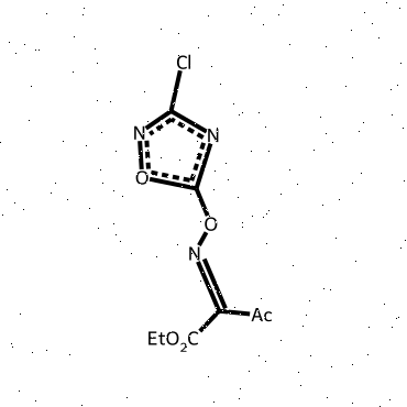 CCOC(=O)C(=NOc1nc(Cl)no1)C(C)=O